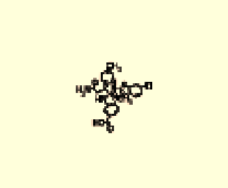 CN1CCN(C(CC(N)=O)C2(Nc3nc4ccc(Cl)cc4s3)Nc3cc(C(=O)O)ccc3N2C)CC1